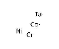 [Co].[Cr].[Ni].[Ta]